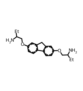 CCC(N)COc1ccc2c(c1)Cc1cc(OCC(N)CC)ccc1-2